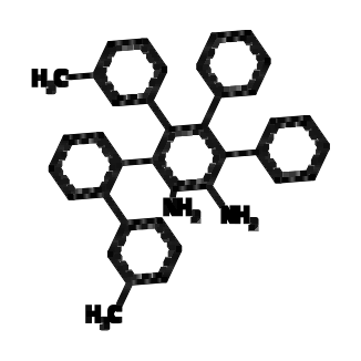 Cc1cccc(-c2ccccc2-c2c(N)c(N)c(-c3ccccc3)c(-c3ccccc3)c2-c2cccc(C)c2)c1